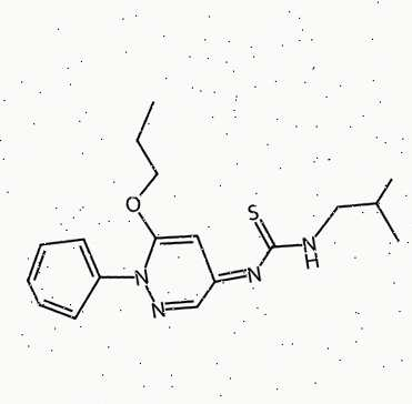 CCCOc1c/c(=N\C(=S)NCC(C)C)cnn1-c1ccccc1